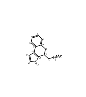 CNCC1Cc2ccccc2-c2ccsc21